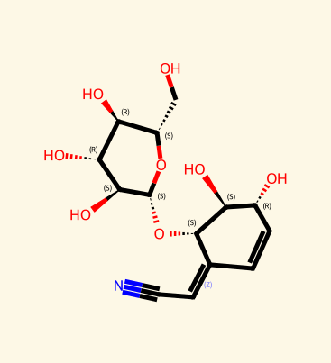 N#C/C=C1/C=C[C@@H](O)[C@H](O)[C@H]1O[C@H]1O[C@@H](CO)[C@H](O)[C@@H](O)[C@@H]1O